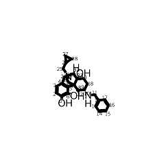 Oc1ccc2c3c1O[C@H]1[C@@H](NCc4ccccc4)CC[C@@]4(O)[C@@H](C2)N(CC2CC2)CCC314